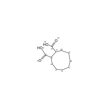 O=C(O)C1CCCCCCCC1C(=O)O